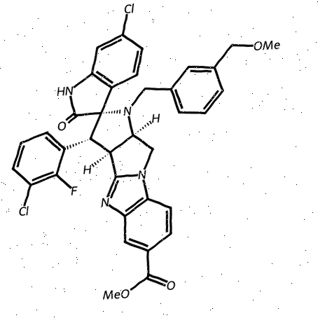 COCc1cccc(CN2[C@H]3Cn4c(nc5cc(C(=O)OC)ccc54)[C@H]3[C@H](c3cccc(Cl)c3F)[C@]23C(=O)Nc2cc(Cl)ccc23)c1